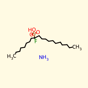 CCCCCCCCCCCC(F)(CCCCCCCC)S(=O)(=O)O.N